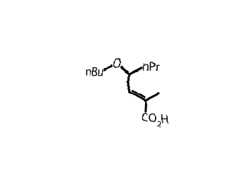 CCCCOC(C=C(C)C(=O)O)CCC